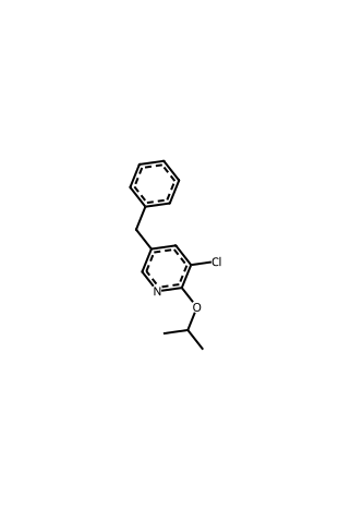 CC(C)Oc1ncc(Cc2ccccc2)cc1Cl